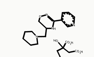 O=C(O)CC(O)(CC(=O)O)C(=O)O.c1cncc(C2=NOCC(CN3CCCCC3)N2)c1